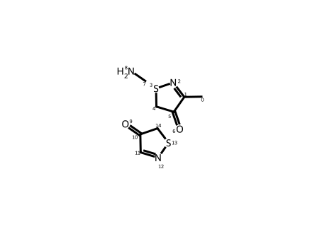 CC1=NSCC1=O.CN.O=C1C=NSC1